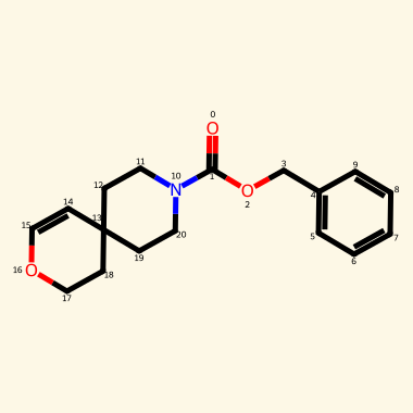 O=C(OCc1ccccc1)N1CCC2(C=COCC2)CC1